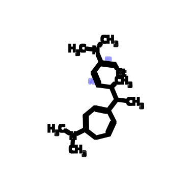 CC/C=C(\C=C/C(C)C(C)C1=CC=C(N(C)C)CC=C1)N(C)C